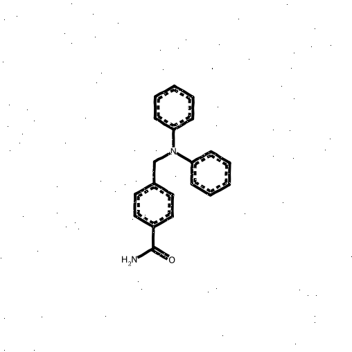 NC(=O)c1ccc(CN(c2ccccc2)c2ccccc2)cc1